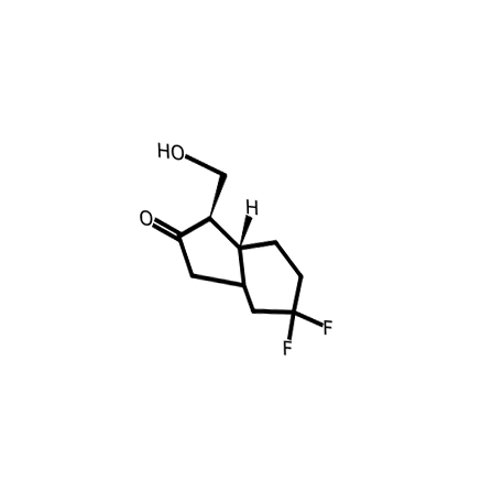 O=C1CC2CC(F)(F)CC[C@H]2[C@@H]1CO